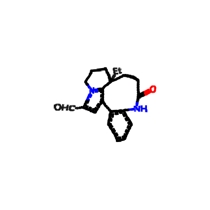 CC[C@]12CCCn3c(C=O)cc(c31)-c1ccccc1NC(=O)CC2